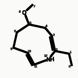 CC/C1=C/CC(OC)CC/C=C/N1